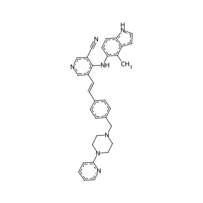 Cc1c(Nc2c(C#N)cncc2/C=C/c2ccc(CN3CCN(c4ccccn4)CC3)cc2)ccc2[nH]ccc12